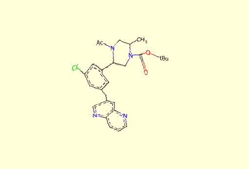 CC(=O)N1CC(C)N(C(=O)OC(C)(C)C)CC1c1cc(Cl)cc(-c2cnc3cccnc3c2)c1